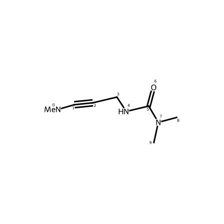 CNC#CCNC(=O)N(C)C